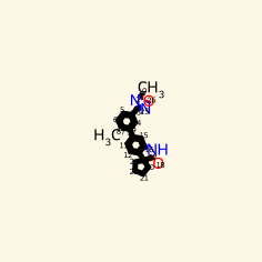 Cc1nc(-c2ccc(C)c(-c3ccc4c(c3)NC(=O)C43CCCC3)c2)no1